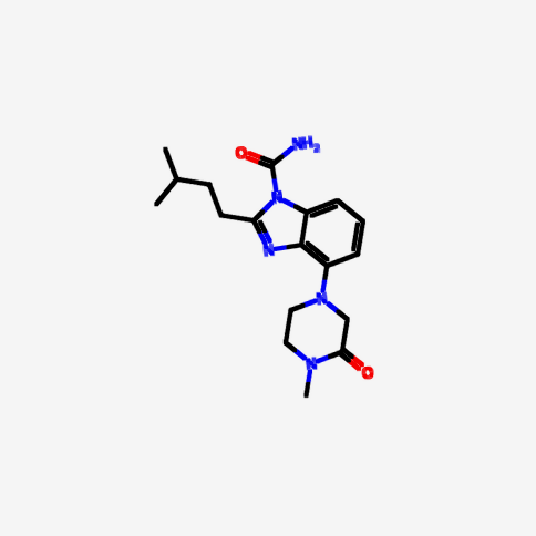 CC(C)CCc1nc2c(N3CCN(C)C(=O)C3)cccc2n1C(N)=O